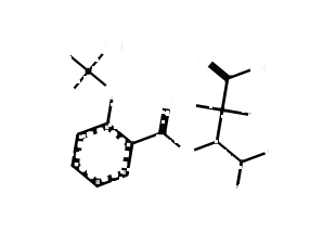 CC(C)C(OC(=O)c1ccccc1OC(C)(C)C)C(F)(F)C(=O)O